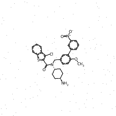 COc1ccc(CN(C(=O)c2sc3ccccc3c2Cl)[C@H]2CC[C@H](N)CC2)cc1-c1cccc([N+](=O)[O-])c1